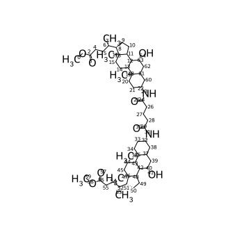 COC(=O)CC[C@@H](C)[C@H]1CCC2C3C(CC[C@@]21C)[C@@]1(C)CC[C@@H](NC(=O)CCCC(=O)N[C@H]2CC[C@@]4(C)C(C2)C[C@H](O)C2C4CC[C@@]4(C)C2CC[C@@H]4[C@H](C)CCC(=O)OC)CC1C[C@H]3O